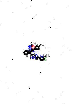 Cc1nnc(C2(C3C4CC(C)CC43)N[C@@H](c3nc(-c4ccc(F)c(C)n4)c[nH]3)Cc3c2[nH]c2ccccc32)o1